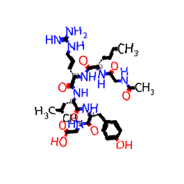 CCCC[C@H](NC(=O)CNC(C)=O)C(=O)N[C@@H](CCCNC(=N)N)C(=O)N[C@@H](CC(C)C)C(=O)N[C@@H](Cc1ccc(O)cc1)C(=O)NCC(=O)O